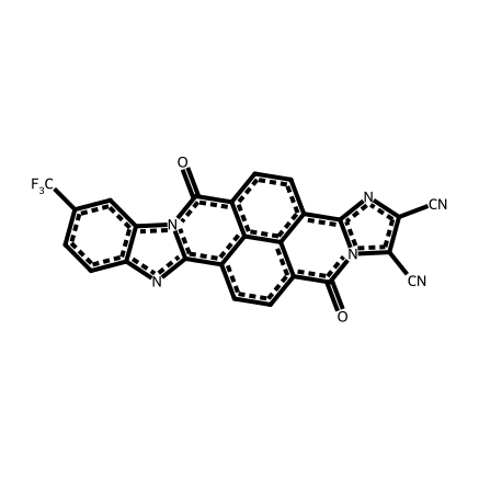 N#Cc1nc2c3ccc4c(=O)n5c6cc(C(F)(F)F)ccc6nc5c5ccc(c(=O)n2c1C#N)c3c45